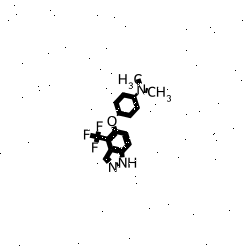 CN(C)[C@H]1CC[C@H](Oc2ccc3[nH]ncc3c2C(F)(F)F)CC1